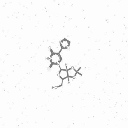 CC1(C)O[C@@H]2[C@H](O1)[C@@H](CO)O[C@H]2n1cc(-c2ncco2)c(=O)[nH]c1=O